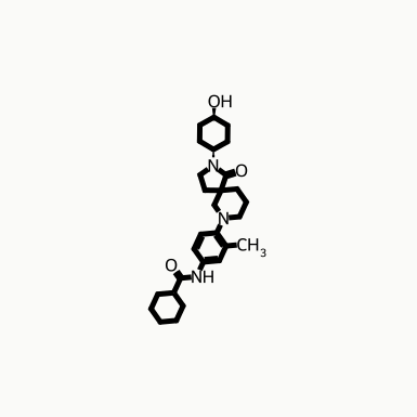 Cc1cc(NC(=O)C2CCCCC2)ccc1N1CCCC2(CCN([C@H]3CC[C@H](O)CC3)C2=O)C1